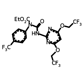 CCOC(=O)N(C(=O)Nc1nc(OCC(F)(F)F)cc(OCC(F)(F)F)n1)c1ccc(C(F)(F)F)cc1